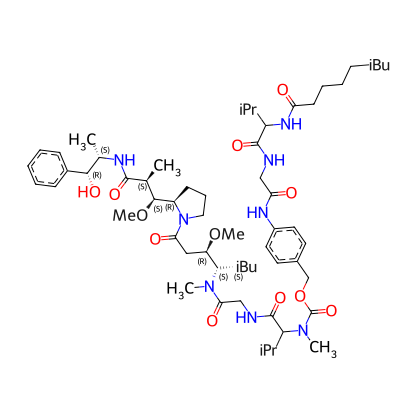 CCC(C)CCCCC(=O)NC(C(=O)NCC(=O)Nc1ccc(COC(=O)N(C)C(C(=O)NCC(=O)N(C)[C@@H]([C@@H](C)CC)[C@@H](CC(=O)N2CCC[C@@H]2[C@@H](OC)[C@H](C)C(=O)N[C@@H](C)[C@H](O)c2ccccc2)OC)C(C)C)cc1)C(C)C